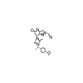 COc1ccc(C(C)N2C[C@H](C)N(c3cc(=O)n(C)c4cn(CC#N)nc34)C[C@H]2C)cc1